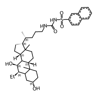 CC[C@@H]1C2C[C@H](O)CCC2(C)[C@H]2CCC3(C)[C@@H]([C@H](C)CCCNC(=O)NS(=O)(=O)c4ccc5ccccc5c4)CC[C@H]3C2[C@@H]1O